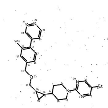 CCc1cnc(N2CCC([C@H]3C[C@H]3COCc3ccc(-c4ccnnc4)c(F)c3)CC2)nc1